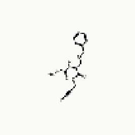 CC(C)(C)OC(=O)N[C@@H](COCc1ccccc1)C(=O)OCC#CI